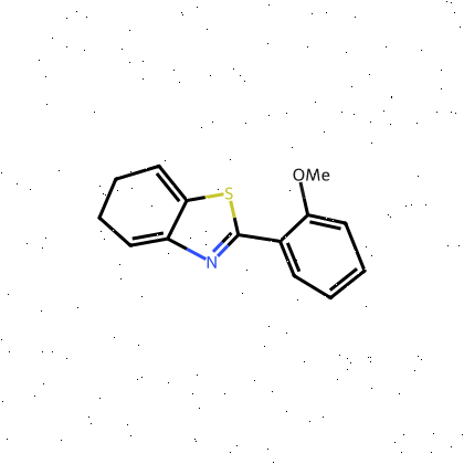 COc1ccccc1-c1nc2c(s1)=CCCC=2